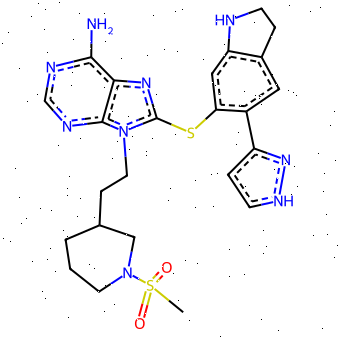 CS(=O)(=O)N1CCCC(CCn2c(Sc3cc4c(cc3-c3cc[nH]n3)CCN4)nc3c(N)ncnc32)C1